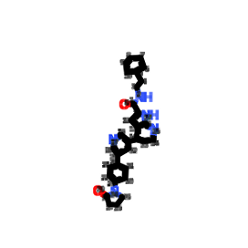 O=C(NCCc1ccccc1)c1cc2c(-c3cncc(-c4ccc(N5CCCC5=O)cc4)c3)ccnc2[nH]1